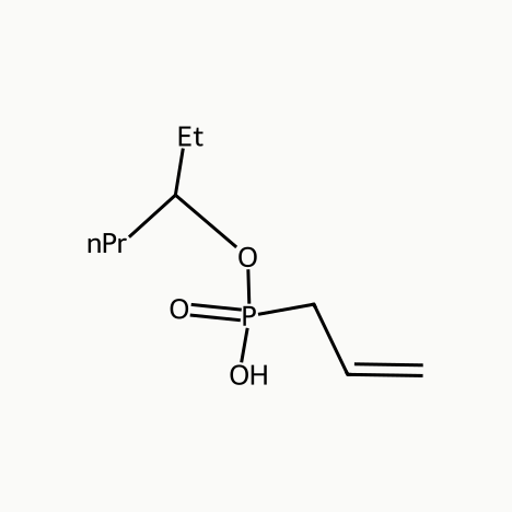 C=CCP(=O)(O)OC(CC)CCC